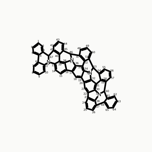 c1ccc2c(c1)-c1ccccc1N1c3ccc4c5cc6c7cc8c9cccc%10c9n9c8c8c7n7c6c6c5n5c4c3-c3c(cccc3C5c3cccc(c3-6)C7c3cccc(c3-8)C9c3ccccc3-%10)C21